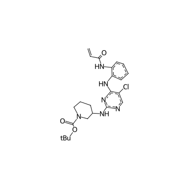 C=CC(=O)Nc1ccccc1Nc1nc(NC2CCCN(C(=O)OC(C)(C)C)C2)ncc1Cl